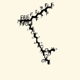 C=CC(=O)OCC(COCCCCCCOCCCOC(F)(/C(F)=C(F)/C(F)=C(F)/C(F)=C(F)/C(F)=C(\F)CF)C(F)(F)C(F)(F)F)OC(=O)C=C